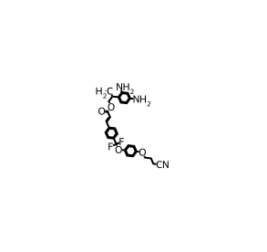 [CH2]C(COC(=O)/C=C/c1ccc(C(F)(F)Oc2ccc(OCCCC#N)cc2)cc1)c1ccc(N)cc1N